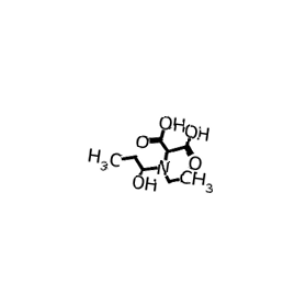 CCC(O)N(CC)C(C(=O)O)C(=O)O